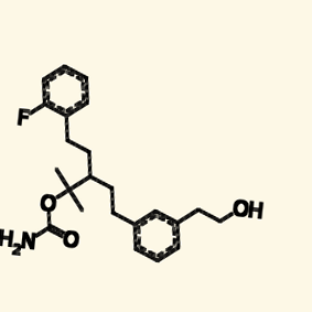 CC(C)(OC(N)=O)C(CCc1cccc(CCO)c1)CCc1ccccc1F